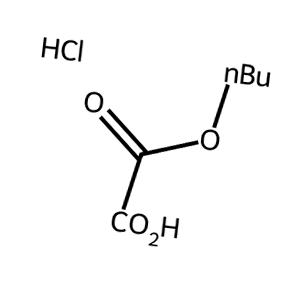 CCCCOC(=O)C(=O)O.Cl